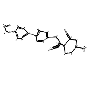 CCCCCCCCCOc1ccc(-c2ccc(CC(=O)C3CCC(CCC)CC3=O)cc2)cc1